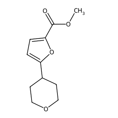 COC(=O)c1ccc(C2CCOCC2)o1